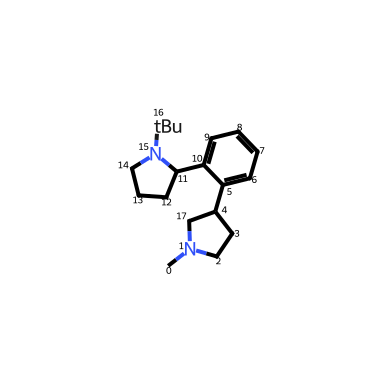 CN1CCC(c2ccccc2C2CCCN2C(C)(C)C)C1